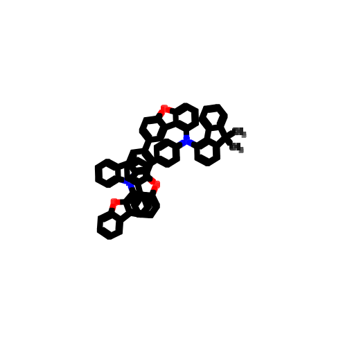 CC1(C)c2ccccc2-c2c(N(c3ccc(-c4cccc5c4oc4ccccc45)cc3)c3cccc4oc5ccc(-c6ccc7c(c6)c6ccccc6n7-c6cccc7c6oc6ccccc67)cc5c34)cccc21